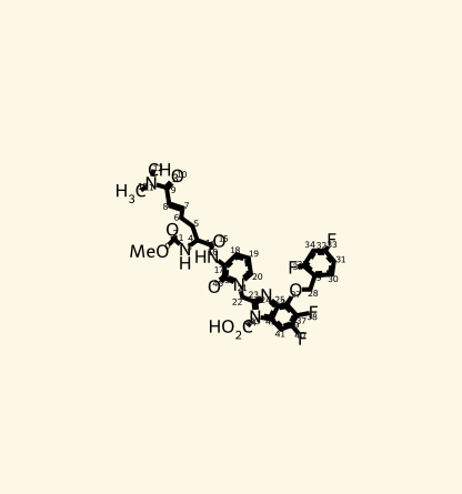 COC(=O)NC(CCC=CC(=O)N(C)C)C(=O)Nc1cccn(Cc2nc3c(OCc4ccc(F)cc4F)c(F)c(F)cc3n2C(=O)O)c1=O